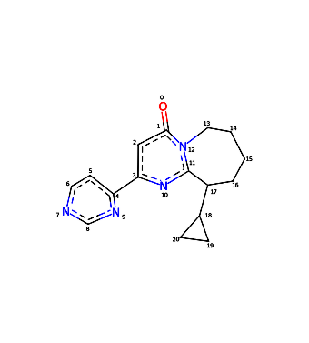 O=c1cc(-c2ccncn2)nc2n1CCCCC2C1CC1